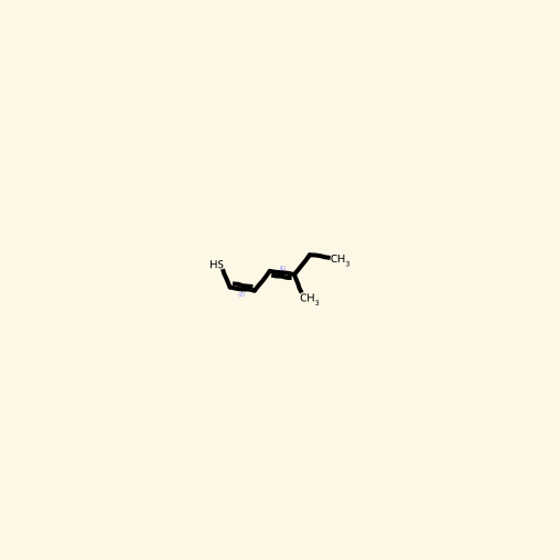 CC/C(C)=C/C=C\S